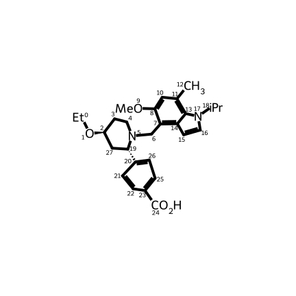 CCO[C@H]1CCN(Cc2c(OC)cc(C)c3c2ccn3C(C)C)[C@H](c2ccc(C(=O)O)cc2)C1